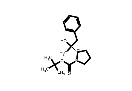 CC(C)(C)OC(=O)N1CCC[C@H]1C(C)(O)Cc1ccccc1